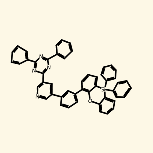 c1ccc(-c2nc(-c3ccccc3)nc(-c3cncc(-c4cccc(-c5cccc6c5Oc5ccccc5[Si]6(c5ccccc5)c5ccccc5)c4)c3)n2)cc1